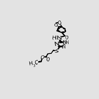 CCOC(=O)CCCSc1n[nH]c(NC(=O)c2ccc3c(c2)OCO3)n1